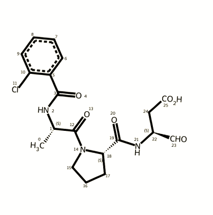 C[C@H](NC(=O)c1ccccc1Cl)C(=O)N1CCC[C@H]1C(=O)N[C@H](C=O)CC(=O)O